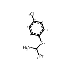 CC(C)C(N)Sc1ccc(Cl)cc1